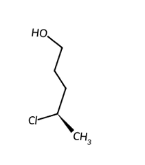 C[C@@H](Cl)CCCO